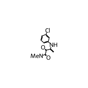 C=C(Nc1cccc(Cl)c1)C(=O)C(=O)NC